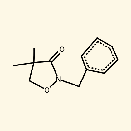 CC1(C)CON(Cc2ccccc2)C1=O